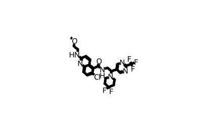 COCCNc1ccc2c(C(=O)NCC(c3cnc(C(F)(F)F)nc3)N3CCC(F)(F)CC3)c(Cl)ccc2n1